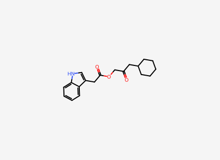 O=C(COC(=O)Cc1c[nH]c2ccccc12)CC1CCCCC1